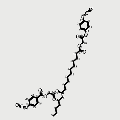 CCCCCC[C@H](CCCCCCCCCCC(=O)OCC(=O)Oc1ccc(N=C=O)cc1)OC(=O)COC(=O)c1ccc(N=C=O)cc1